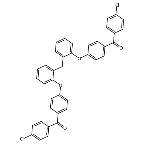 O=C(c1ccc(Cl)cc1)c1ccc(Oc2ccccc2Cc2ccccc2Oc2ccc(C(=O)c3ccc(Cl)cc3)cc2)cc1